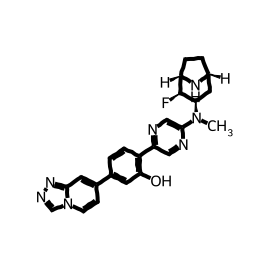 CN(c1cnc(-c2ccc(-c3ccn4cnnc4c3)cc2O)cn1)[C@@H]1C[C@H]2CC[C@H](N2)[C@@H]1F